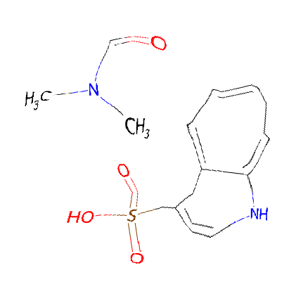 CN(C)C=O.O=S(=O)(O)c1c[nH]c2ccccc12